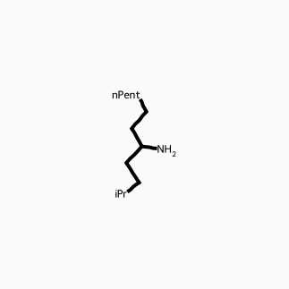 CCCCCCCC(N)CCC(C)C